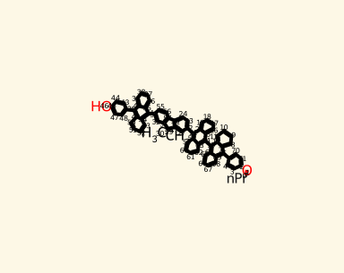 CCCOc1ccc(-c2c3ccccc3c(-c3c4ccccc4c(-c4ccc5c(c4)C(C)(C)c4cc(-c6c7ccccc7c(-c7ccc(O)cc7)c7ccccc67)ccc4-5)c4ccccc34)c3ccccc23)cc1